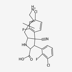 CC(C)(CCN)CC1NC(C(=O)O)C(c2cccc(Cl)c2F)C1(C#N)c1ccc(Cl)cc1F